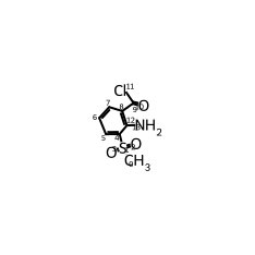 CS(=O)(=O)c1cccc(C(=O)Cl)c1N